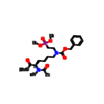 CCCN(C(=O)CC)[C@H](CCCCN(CCP(=O)(OCC)OCC)C(=O)OCc1ccccc1)C(=O)OC